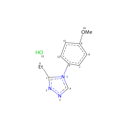 CCc1nncn1-c1ccc(OC)cc1.Cl